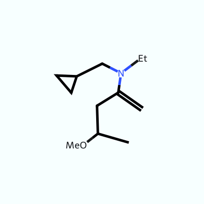 C=C(CC(C)OC)N(CC)CC1CC1